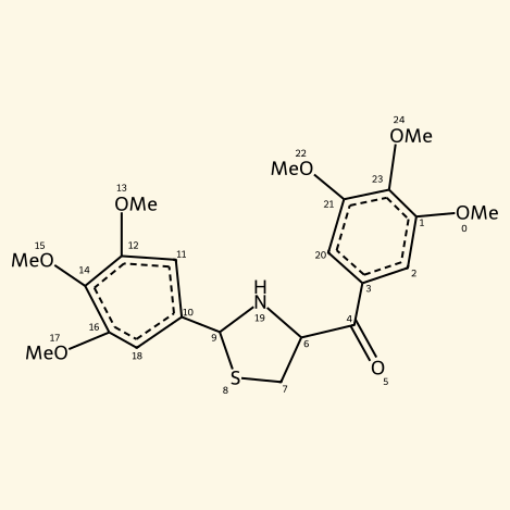 COc1cc(C(=O)C2CSC(c3cc(OC)c(OC)c(OC)c3)N2)cc(OC)c1OC